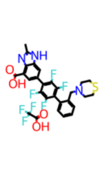 Cc1nc2c(C(=O)O)cc(-c3c(F)c(F)c(-c4ccccc4CN4CCSCC4)c(F)c3F)cc2[nH]1.O=C(O)C(F)(F)F